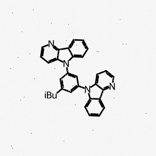 CCC(C)c1cc(-n2c3ccccc3c3ncccc32)cc(-n2c3ccccc3c3ncccc32)c1